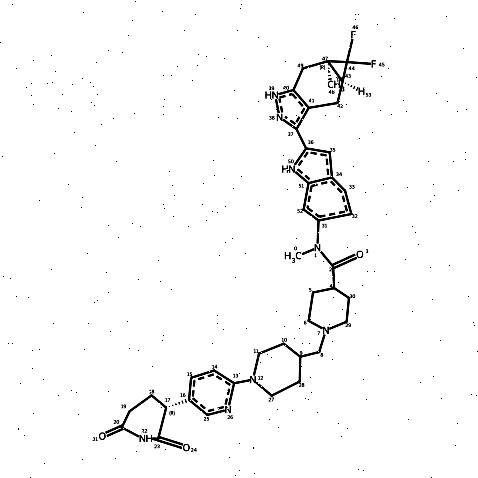 CN(C(=O)C1CCN(CC2CCN(c3ccc([C@H]4CCC(=O)NC4=O)cn3)CC2)CC1)c1ccc2cc(-c3n[nH]c4c3C[C@@H]3C(F)(F)[C@]3(C)C4)[nH]c2c1